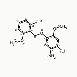 COc1cc(Cl)c(N)cc1OCc1c(F)cccc1OC